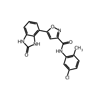 Cc1ccc(Cl)cc1NC(=O)c1cc(-c2cccc3[nH]c(=O)[nH]c23)on1